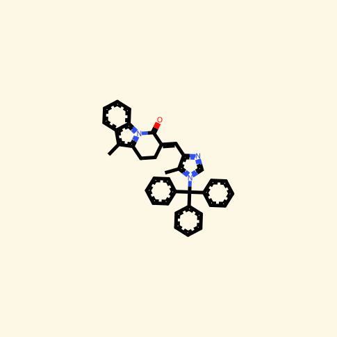 Cc1c2n(c3ccccc13)C(=O)C(=Cc1ncn(C(c3ccccc3)(c3ccccc3)c3ccccc3)c1C)CC2